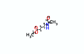 CCOC(=O)CCCCN[C@@H](C)[C]=O